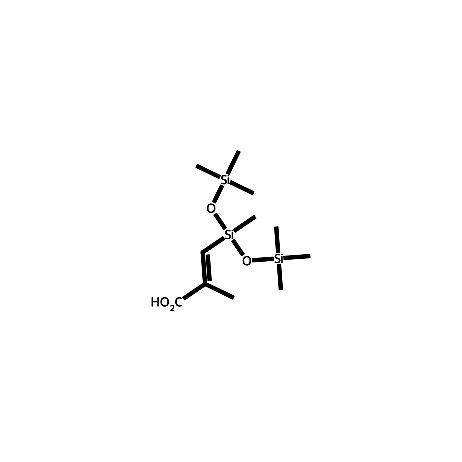 CC(=C[Si](C)(O[Si](C)(C)C)O[Si](C)(C)C)C(=O)O